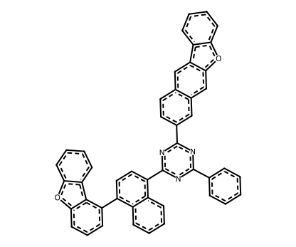 c1ccc(-c2nc(-c3ccc4cc5c(cc4c3)oc3ccccc35)nc(-c3ccc(-c4cccc5oc6ccccc6c45)c4ccccc34)n2)cc1